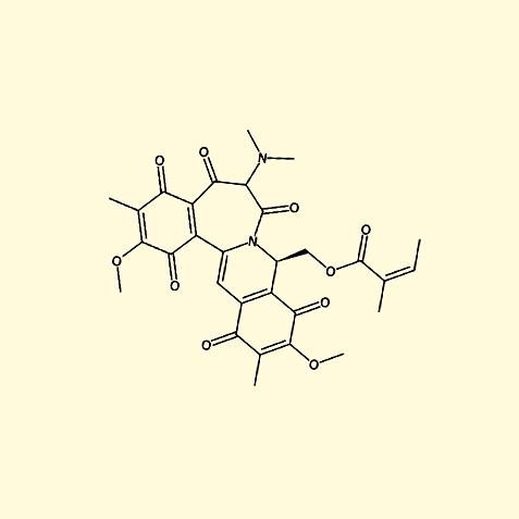 C/C=C(/C)C(=O)OC[C@H]1C2=C(C=C3C4=C(C(=O)C(C)=C(OC)C4=O)C(=O)C(N(C)C)C(=O)N31)C(=O)C(C)=C(OC)C2=O